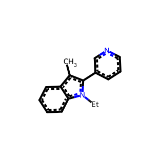 CCn1c(-c2cccnc2)c(C)c2ccccc21